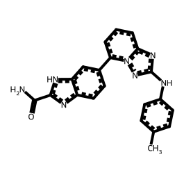 Cc1ccc(Nc2nc3cccc(-c4ccc5nc(C(N)=O)[nH]c5c4)n3n2)cc1